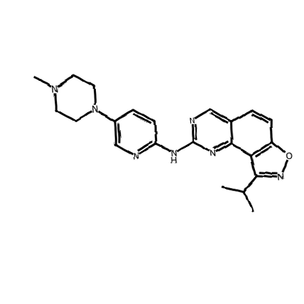 CC(C)c1noc2ccc3cnc(Nc4ccc(N5CCN(C)CC5)cn4)nc3c12